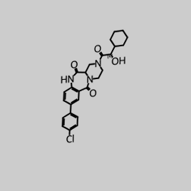 O=C1Nc2ccc(-c3ccc(Cl)cc3)cc2C(=O)N2CCN(C(=O)[C@H](O)C3CCCCC3)CC12